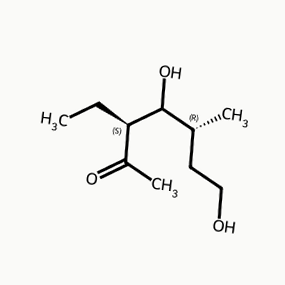 CC[C@H](C(C)=O)C(O)[C@H](C)CCO